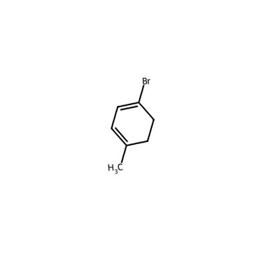 CC1=CC=C(Br)CC1